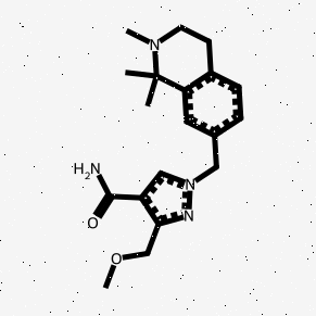 COCc1nn(Cc2ccc3c(c2)C(C)(C)N(C)CC3)cc1C(N)=O